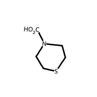 O=C(O)N1CCSCC1